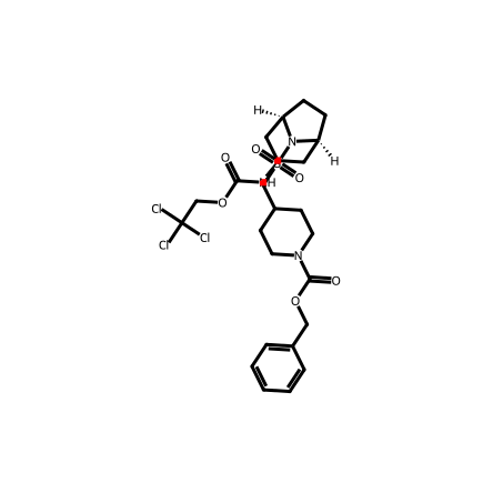 O=C(N[C@H]1C[C@H]2CC[C@@H](C1)N2S(=O)(=O)CC1CCN(C(=O)OCc2ccccc2)CC1)OCC(Cl)(Cl)Cl